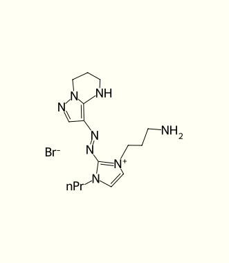 CCCn1cc[n+](CCCN)c1/N=N/c1cnn2c1NCCC2.[Br-]